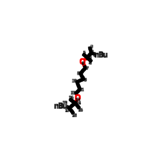 CCCCC(C)C(C)(C)OCCCCCCOC(C)(C)C(C)CCCC